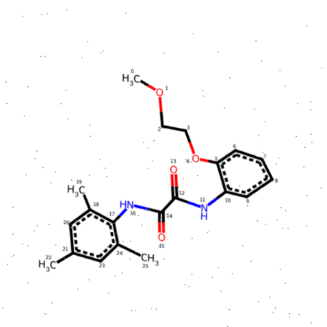 COCCOc1ccccc1NC(=O)C(=O)Nc1c(C)cc(C)cc1C